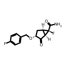 NC(=O)[C@@]1(F)[C@@H]2C[C@@H](OCc3ccc(F)cc3)C(=O)[C@@H]21